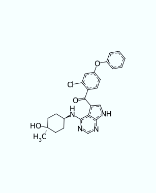 C[C@]1(O)CC[C@@H](Nc2ncnc3[nH]cc(C(=O)c4ccc(Oc5ccccc5)cc4Cl)c23)CC1